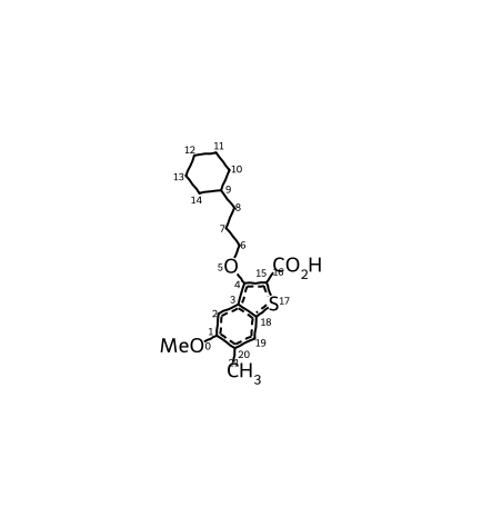 COc1cc2c(OCCCC3CCCCC3)c(C(=O)O)sc2cc1C